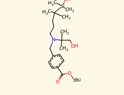 CC(C)(C)OC(=O)c1ccc(CN(CCCC(C)(C)[Si](C)(C)O)C(C)(C)CO)cc1